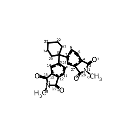 CN1C(=O)c2ccc(C3(c4ccc5c(c4)C(=O)N(C)C5=O)CCCCC3)cc2C1=O